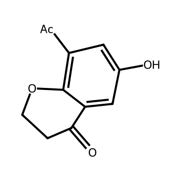 CC(=O)c1cc(O)cc2c1OCCC2=O